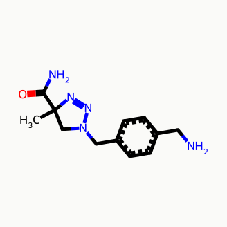 CC1(C(N)=O)CN(Cc2ccc(CN)cc2)N=N1